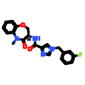 CN1C(=O)[C@@H](NC(=O)c2cn(Cc3cccc(F)c3)cn2)COc2ccccc21